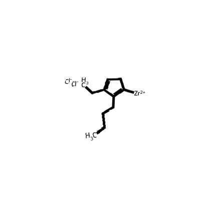 CCCCC1=[C]([Zr+2])CC=C1CC.[Cl-].[Cl-]